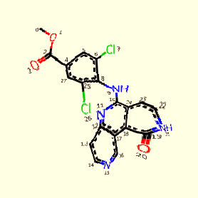 COC(=O)c1cc(Cl)c(Nc2nc3ccncc3c3c(=O)[nH]ccc23)c(Cl)c1